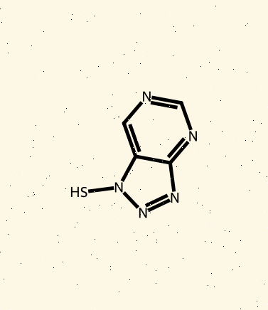 Sn1nnc2ncncc21